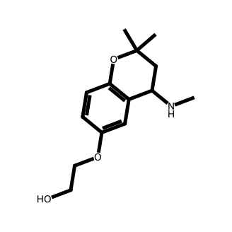 CNC1CC(C)(C)Oc2ccc(OCCO)cc21